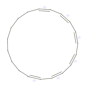 [C]1=C/C=C\C=C/C=C\C=C/C=C\CCCCCCC\1